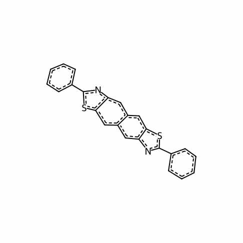 c1ccc(-c2nc3cc4cc5sc(-c6ccccc6)nc5cc4cc3s2)cc1